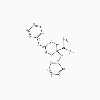 CN(C)C1(Cc2ccccc2)CCN(Cc2ccccc2)CC1